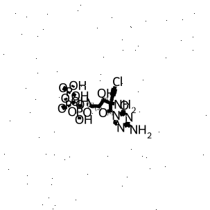 C[C@H](OP(=O)(O)OP(=O)(O)OP(=O)(O)O)[C@H]1O[C@@H](n2cnc(N)nc2=O)C(N)(C#CCl)[C@H]1O